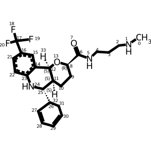 CNCCCNC(=O)[C@H]1CC[C@@H]2[C@H](O1)c1cc(C(F)(F)F)ccc1N[C@H]2C1C=CC=CC1